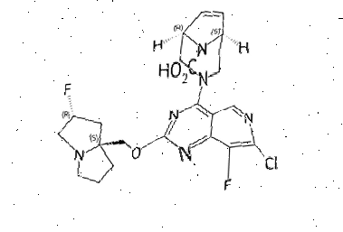 O=C(O)N1[C@@H]2C=C[C@H]1CN(c1nc(OC[C@@]34CCCN3C[C@H](F)C4)nc3c(F)c(Cl)ncc13)C2